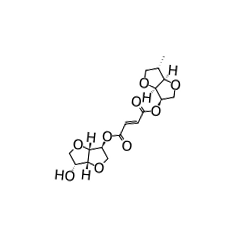 C[C@H]1CO[C@H]2[C@@H]1OC[C@H]2OC(=O)/C=C/C(=O)O[C@H]1CO[C@H]2[C@@H]1OC[C@H]2O